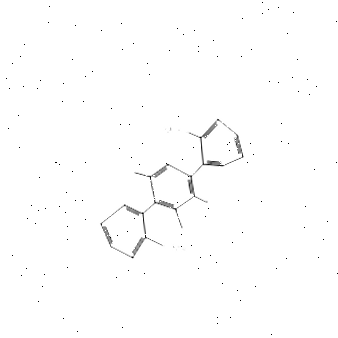 COc1ccccc1-c1cc(F)c(-c2ccccc2OC)c(Cl)c1F